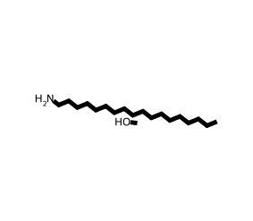 CCCCCCCCCCCCCCCCCCN.CO